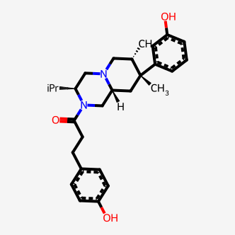 CC(C)[C@H]1CN2C[C@H](C)[C@](C)(c3cccc(O)c3)C[C@@H]2CN1C(=O)CCc1ccc(O)cc1